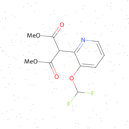 COC(=O)C(C(=O)OC)c1ncccc1OC(F)F